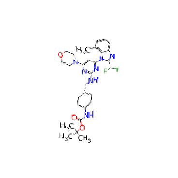 Cc1cccc2nc(C(F)F)n(-c3cc(N4CCOCC4)nc(NC[C@H]4CC[C@H](NC(=O)OC(C)(C)C)CC4)n3)c12